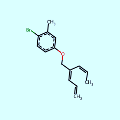 C=C/C=C(\C=C/C)COc1ccc(Br)c(C)c1